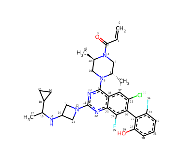 C=CC(=O)N1C[C@H](C)N(c2nc(N3CC(NC(C)C4CC4)C3)nc3c(F)c(-c4c(O)cccc4F)c(Cl)cc23)C[C@H]1C